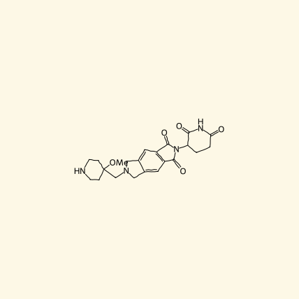 COC1(CN2Cc3cc4c(cc3C2)C(=O)N(C2CCC(=O)NC2=O)C4=O)CCNCC1